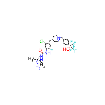 CC(C)(N)CNC(=O)Nc1cc(Cl)c(CC2CCN(Cc3ccc(C(O)(C(F)(F)F)C(F)(F)F)cc3)CC2)cc1F